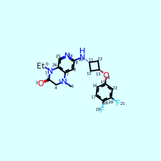 CCN1C(=O)CN(C)c2cc(N[C@H]3C[C@H](Oc4ccc(F)c(F)c4)C3)ncc21